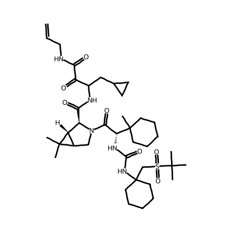 C=CCNC(=O)C(=O)C(CC1CC1)NC(=O)[C@@H]1[C@@H]2C(CN1C(=O)[C@@H](NC(=O)NC1(CS(=O)(=O)C(C)(C)C)CCCCC1)C1(C)CCCCC1)C2(C)C